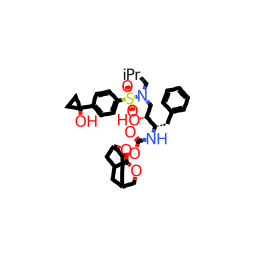 CC(C)CN(C[C@@H](O)[C@H](Cc1ccccc1)NC(=O)OC1C2COC3OC1CC3C2)S(=O)(=O)c1ccc(C2(O)CC2)cc1